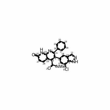 CNC(=O)c1c(-c2cc(Cl)c3[nH]ncc3c2)c(-c2ccccc2)nc2[nH]c(=O)ccc12